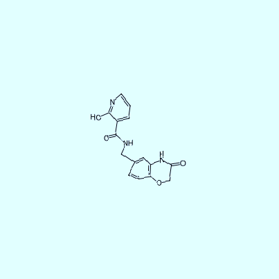 O=C1COc2ccc(CNC(=O)c3cccnc3O)cc2N1